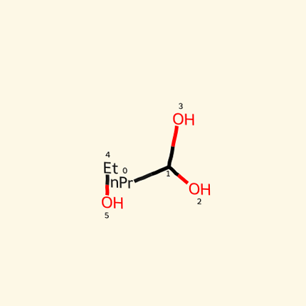 CCCC(O)O.CCO